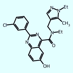 CCN(Cc1cnn(CC)c1C)C(=O)c1nc(-c2cccc(Cl)c2)nc2ccc(O)cc12